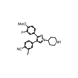 COc1ccc(-c2nn(C3CCNCC3)cc2-c2ccc(C#N)c(F)c2)cc1F